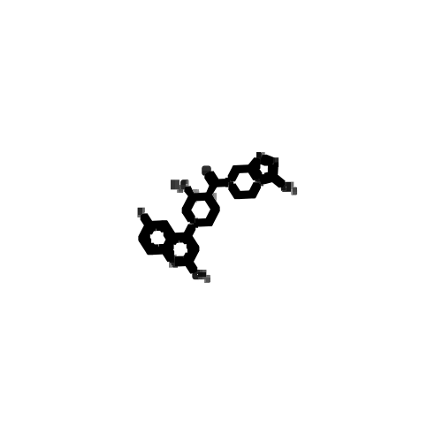 Cc1cc(N2CC[C@H](C(=O)N3CCn4c(nnc4C(F)(F)F)C3)[C@H](C)C2)c2cc(F)ccc2n1